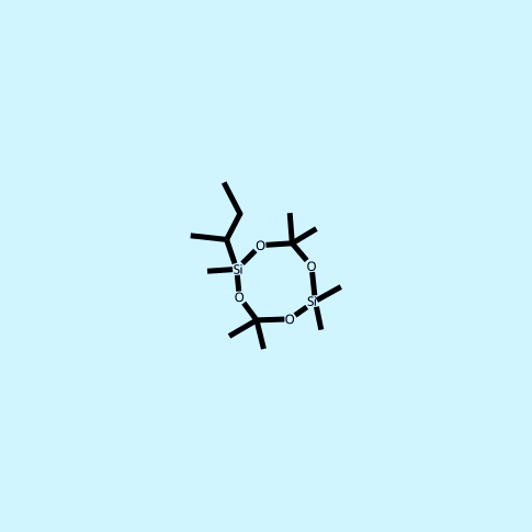 CCC(C)[Si]1(C)OC(C)(C)O[Si](C)(C)OC(C)(C)O1